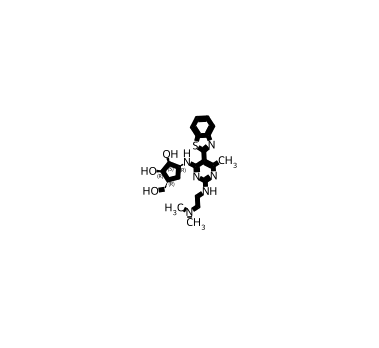 Cc1nc(NCCN(C)C)nc(N[C@@H]2C[C@H](CO)[C@@H](O)[C@H]2O)c1-c1nc2ccccc2s1